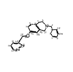 C1=CCC(CN2CCc3ccc(OCc4cccnn4)cc3C2)C=C1